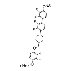 CCCCCCOc1ccc(OCC2CCC(c3ccc(-c4ccc(OCC)c(F)c4F)c(F)c3F)CC2)c(F)c1F